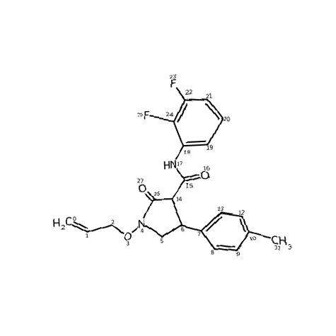 C=CCON1CC(c2ccc(C)cc2)C(C(=O)Nc2cccc(F)c2F)C1=O